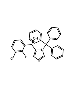 OC(c1cccc(Cl)c1F)c1cncn1C(c1ccccc1)(c1ccccc1)c1ccccc1